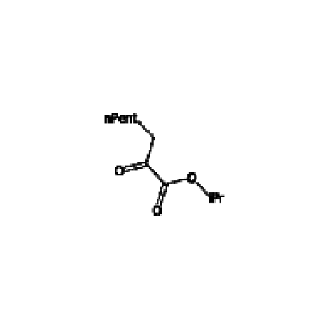 CCCCCCC(=O)C(=O)OC(C)C